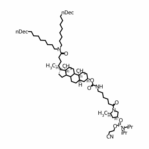 CCCCCCCCCCCCCCCCCCN(CCCCCCCCCCCCCCCCCC)C(=O)CC[C@@H](C)[C@H]1CCC2C3CC[C@@H]4C[C@H](OC(=O)NCCCCCC(=O)N5C[C@H](OP(OCCC#N)N(C(C)C)C(C)C)C[C@H]5C)CC[C@]4(C)C3CC[C@@]21C